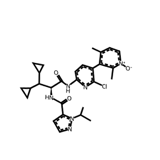 Cc1cc[n+]([O-])c(C)c1-c1ccc(NC(=O)[C@@H](NC(=O)c2ccnn2C(C)C)C(C2CC2)C2CC2)nc1Cl